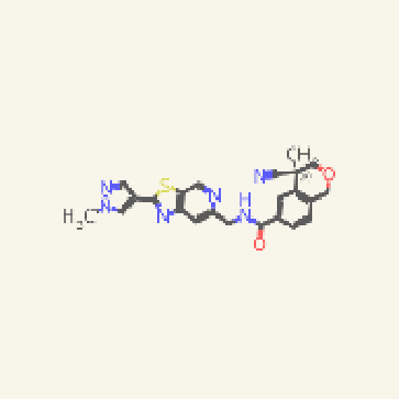 Cn1cc(-c2nc3cc(CNC(=O)c4ccc5c(c4)[C@](C)(C#N)COC5)ncc3s2)cn1